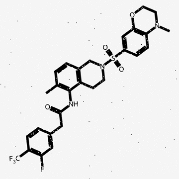 Cc1ccc2c(c1NC(=O)Cc1ccc(C(F)(F)F)c(F)c1)CCN(S(=O)(=O)c1ccc3c(c1)OCCN3C)C2